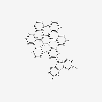 Cc1ccc2c(c1)c1cc(C)ccc1n2-c1ccc(-c2c(-c3ccccc3)c(-c3ccccc3)c(-c3ccccc3)c(-c3ccccc3)c2-c2ccccc2)cc1